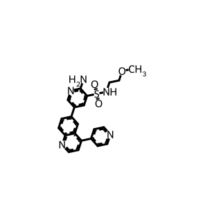 COCCNS(=O)(=O)c1cc(-c2ccc3nccc(-c4ccncc4)c3c2)cnc1N